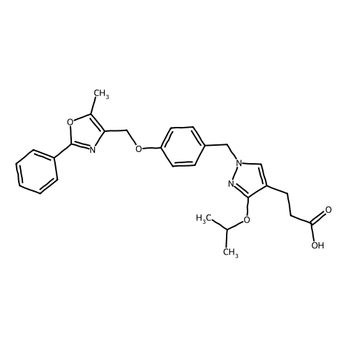 Cc1oc(-c2ccccc2)nc1COc1ccc(Cn2cc(CCC(=O)O)c(OC(C)C)n2)cc1